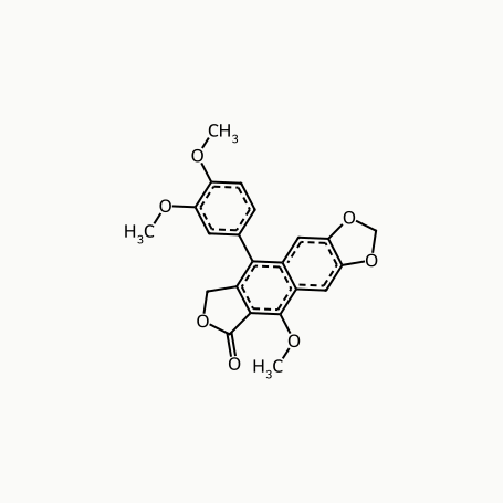 COc1ccc(-c2c3c(c(OC)c4cc5c(cc24)OCO5)C(=O)OC3)cc1OC